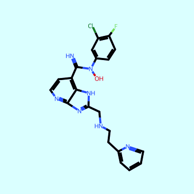 N=C(c1ccnc2nc(CNCCc3ccccn3)[nH]c12)N(O)c1ccc(F)c(Cl)c1